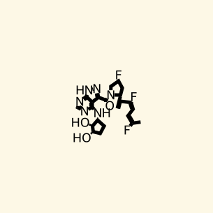 C=C(/C(F)=C\C=C(/C)F)[C@H]1C[C@H](F)CN1C(=O)c1n[nH]c2ncnc(N[C@@H]3CC[C@@H](O)[C@H]3O)c12